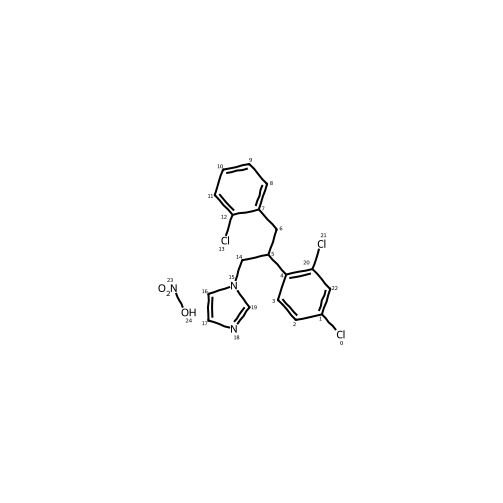 Clc1ccc(C(Cc2ccccc2Cl)Cn2ccnc2)c(Cl)c1.O=[N+]([O-])O